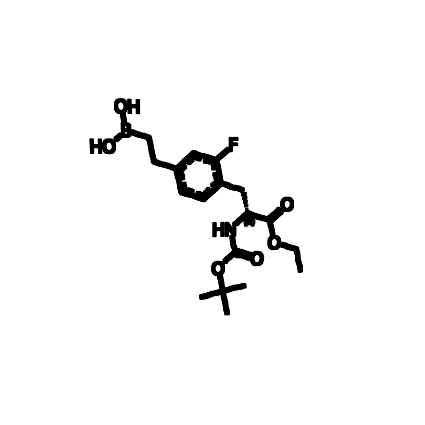 CCOC(=O)[C@@H](Cc1ccc(CCB(O)O)cc1F)NC(=O)OC(C)(C)C